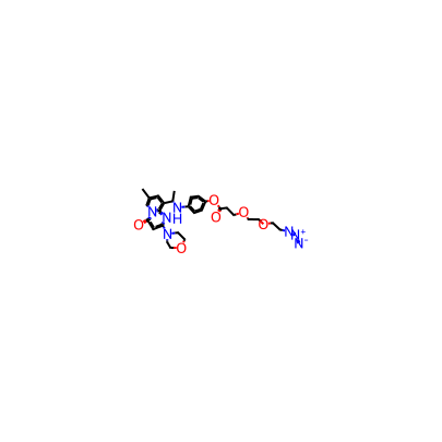 Cc1cc(C(C)Nc2ccc(OC(=O)CCOCCOCCN=[N+]=[N-])cc2)c2nc(N3CCOCC3)cc(=O)n2c1